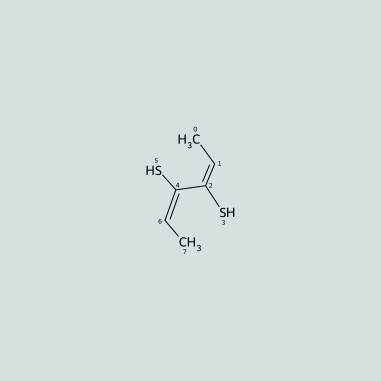 C/C=C(S)\C(S)=C/C